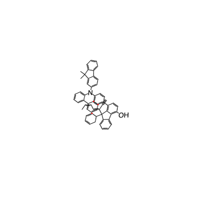 C#C/C(=C\C=C/C)C1(C2C=CC=CC2)c2ccccc2-c2c(O)ccc(-c3ccc(N(c4ccc5c(c4)C(C)(C)c4ccccc4-5)c4ccccc4-c4ccccc4)cc3)c21